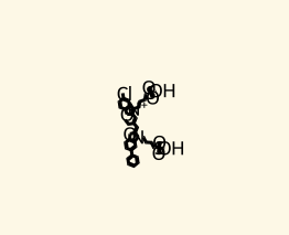 CCC(/C=C1\Oc2ccc(-c3ccccc3)cc2N1CCCCS(=O)(=O)O)=C\c1oc2ccc(Cl)cc2[n+]1CCCCS(=O)(=O)O